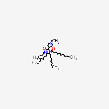 CCCCCCCCCCC(=O)N(C(CCCCCCC)CCCCCCC)C(C(=O)NCCCC)C1CCN(CC)CC1